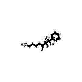 CCCCCC(F)C(F)(F)C(F)(F)c1ccccn1